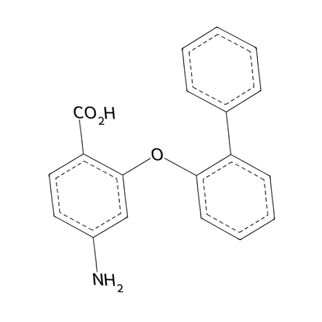 Nc1ccc(C(=O)O)c(Oc2ccccc2-c2ccccc2)c1